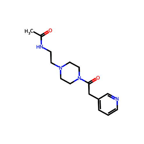 CC(=O)NCCN1CCN(C(=O)Cc2cccnc2)CC1